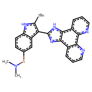 CN(C)Sc1ccc2[nH]c(C(C)(C)C)c(-c3nc4c5cccnc5c5ncccc5c4[nH]3)c2c1